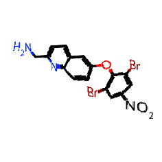 NCc1ccc2cc(Oc3c(Br)cc([N+](=O)[O-])cc3Br)ccc2n1